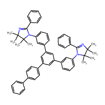 CC1(C)N=C(c2ccccc2)N(c2cccc(-c3cc(-c4ccc(-c5ccccc5)cc4)cc(-c4cccc(N5C(c6ccccc6)=NC(C)(C)C5(C)C)c4)c3)c2)C1(C)C